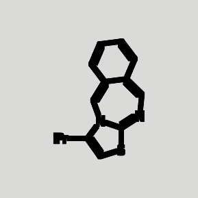 CC(C)C1=CSC2=NC=c3ccccc3=CN12